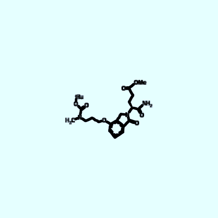 COC(=O)CC[C@@H](C(N)=O)N1Cc2c(OCCCN(C)C(=O)OC(C)(C)C)cccc2C1=O